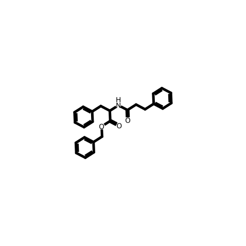 O=C(CCc1ccccc1)NC(Cc1ccccc1)C(=O)OCc1ccccc1